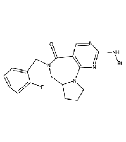 CCNc1ncc2c(n1)N1CCCC1CN(Cc1cc[c]cc1F)C2=O